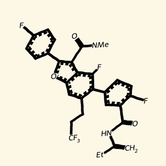 C=C(CC)NC(=O)c1cc(-c2c(CCC(F)(F)F)cc3oc(-c4ccc(F)cc4)c(C(=O)NC)c3c2F)ccc1F